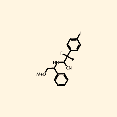 COCC(NC(C#N)C(F)(F)c1ccc(I)cc1)c1ccccc1